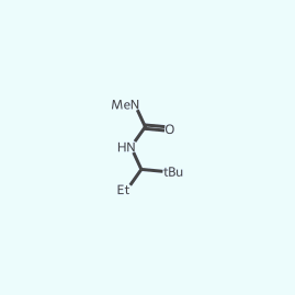 CCC(NC(=O)NC)C(C)(C)C